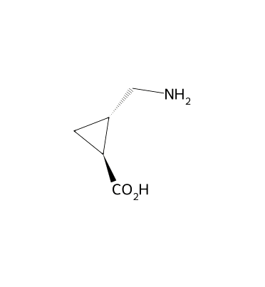 NC[C@H]1C[C@@H]1C(=O)O